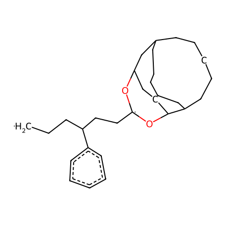 [CH2]CCC(CC[C]1OC2CCC(O1)C1CCCCCC(CCCCC1)C2)c1ccccc1